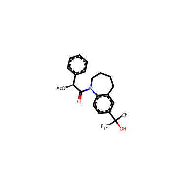 CC(=O)O[C@H](C(=O)N1CCCCc2cc(C(O)(C(F)(F)F)C(F)(F)F)ccc21)c1ccccc1